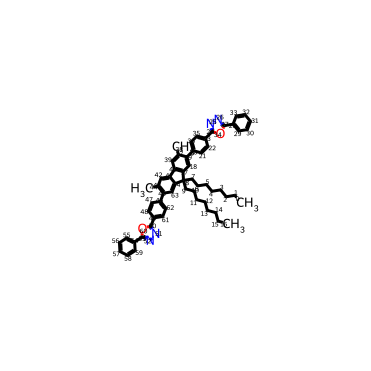 CCCCCCCCC1(CCCCCCCC)c2cc(-c3ccc(-c4nnc(-c5ccccc5)o4)cc3)c(C)cc2-c2cc(C)c(-c3ccc(-c4nnc(-c5ccccc5)o4)cc3)cc21